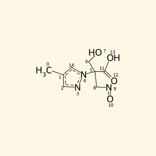 Cc1cnn(C(CO)(CN=O)C(=O)O)c1